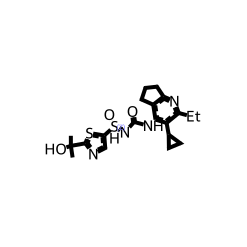 CCc1nc2c(c(NC(=O)/N=[SH](=O)/c3cnc(C(C)(C)O)s3)c1C1CC1)CCC2